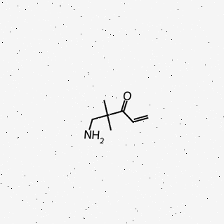 C=CC(=O)C(C)(C)CN